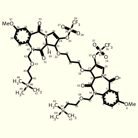 COc1ccc2c(c1)C(=O)N1C=C(OS(=O)(=O)C(F)(F)F)C(OCCCOC3C(OS(=O)(=O)C(F)(F)F)=CN4C(=O)c5cc(OC)ccc5N(COCC[Si](C)(C)C)C(=O)[C@H]34)C1C(=O)N2COCC[Si](C)(C)C